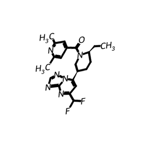 CC[C@H]1CC[C@@H](c2cc(C(F)F)nc3ncnn23)CN1C(=O)c1cc(C)nc(C)c1